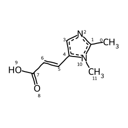 Cc1ncc(C=CC(=O)O)n1C